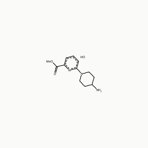 COC(=O)c1cccc(N2CCC(N)CC2)n1.Cl